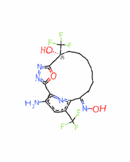 Nc1cc(C(F)(F)F)c2nc1-c1nnc(o1)[C@@](O)(C(F)(F)F)CCCCCCC2=NO